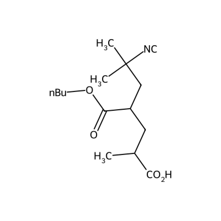 [C-]#[N+]C(C)(C)CC(CC(C)C(=O)O)C(=O)OCCCC